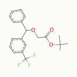 CC(C)(C)OC(=O)COC(c1ccccc1)c1cccc(C(F)(F)F)c1